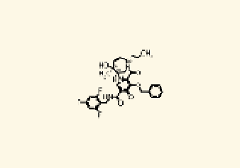 CCC[C@H]1C=C[C@](C)(O)[C@H]2CN1C(=O)c1c(OCc3ccccc3)c(=O)c(C(=O)NCc3c(F)cc(F)cc3F)cn12